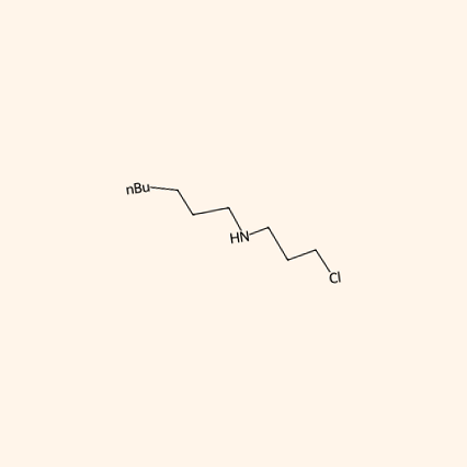 CCCCCCCNCCCCl